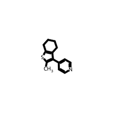 Cc1sc2c(c1-c1ccncc1)CCCC2